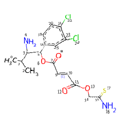 CC(C)C(N)C(OC(=O)/C=C/C(=O)OCC(N)=S)c1ccc(Cl)c(Cl)c1